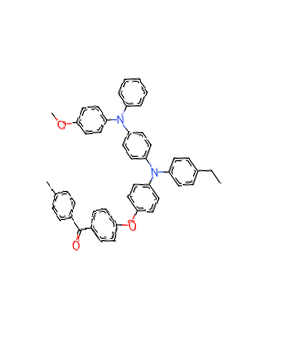 CCc1ccc(N(c2ccc(Oc3ccc(C(=O)c4ccc(C)cc4)cc3)cc2)c2ccc(N(c3ccccc3)c3ccc(OC)cc3)cc2)cc1